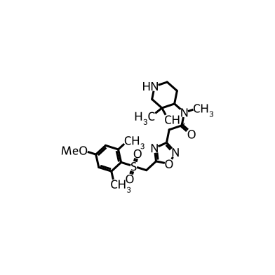 COc1cc(C)c(S(=O)(=O)Cc2nc(CC(=O)N(C)C3CCNCC3(C)C)no2)c(C)c1